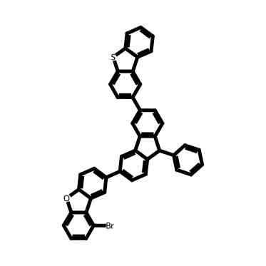 Brc1cccc2oc3ccc(-c4ccc5c(c4)-c4cc(-c6ccc7sc8ccccc8c7c6)ccc4C5c4ccccc4)cc3c12